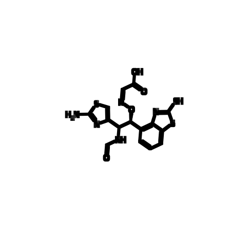 Nc1nc(C(NC=O)[C@@H](O/N=C\C(=O)O)c2cccc3sc(S)nc23)cs1